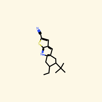 CCC1Cc2nc3sc(C#N)cc3cc2CC1C(C)(C)C